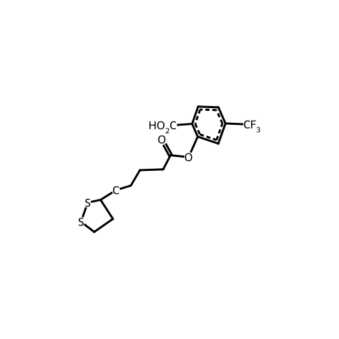 O=C(CCCCC1CCSS1)Oc1cc(C(F)(F)F)ccc1C(=O)O